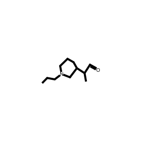 CCCN1CCCC(C(C)C=O)C1